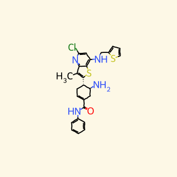 Cc1c([C@H]2CC=C(C(=O)Nc3ccccc3)C[C@@H]2N)sc2c(NCc3cccs3)cc(Cl)nc12